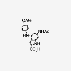 COc1ccc(Nc2cc(NC(C)=O)cc3[nH]c(C(=O)O)cc23)cc1